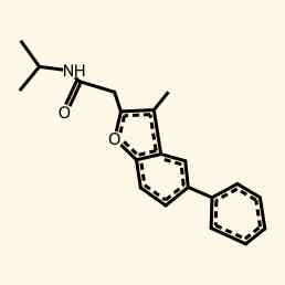 Cc1c(CC(=O)NC(C)C)oc2ccc(-c3ccccc3)cc12